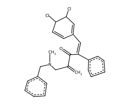 C=C(CN(C)Cc1ccccc1)C(=O)/C(=C\C1=CC(Cl)C(Cl)C=C1)c1ccccc1